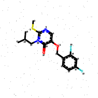 CSc1ncc(OCc2ccc(F)cc2F)c(=O)n1CC(C)C